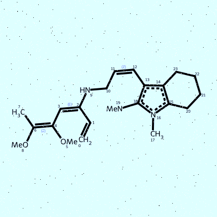 C=C/C(=C\C(OC)=C(/C)OC)NC/C=C\c1c2c(n(C)c1NC)CCCC2